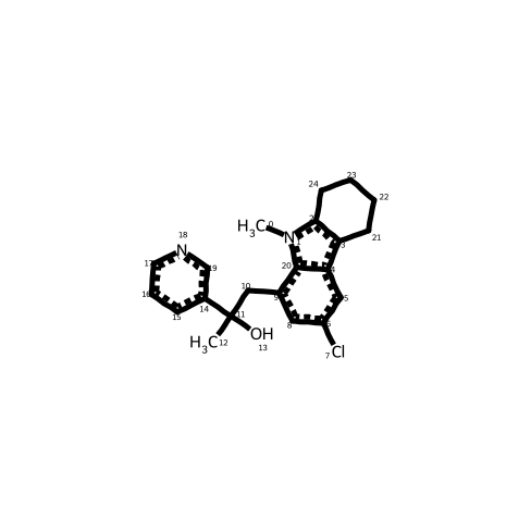 Cn1c2c(c3cc(Cl)cc(CC(C)(O)c4cccnc4)c31)CCCC2